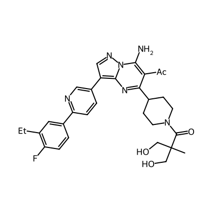 CCc1cc(-c2ccc(-c3cnn4c(N)c(C(C)=O)c(C5CCN(C(=O)C(C)(CO)CO)CC5)nc34)cn2)ccc1F